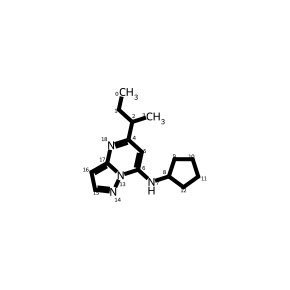 CCC(C)c1cc(NC2CCCC2)n2nccc2n1